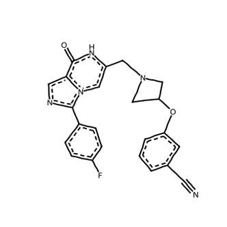 N#Cc1cccc(OC2CN(Cc3cn4c(-c5ccc(F)cc5)ncc4c(=O)[nH]3)C2)c1